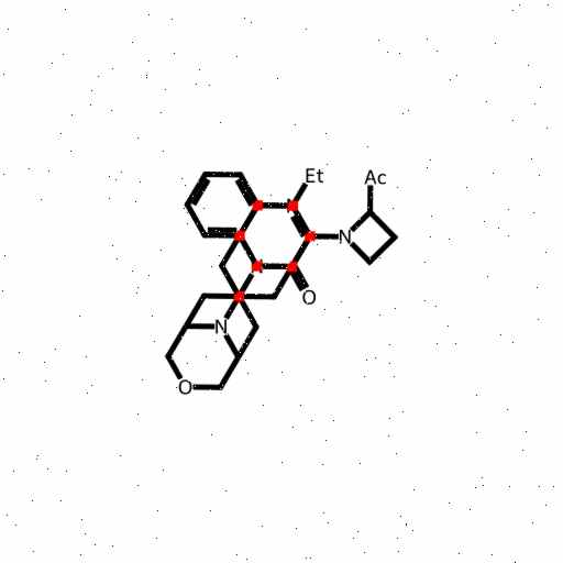 CCC1CC2CC(C1)CC(N1C3COCC1CC(n1c(=O)c(N4CCC4C(C)=O)nc4ccccc41)C3)C2